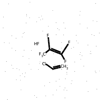 C=CCl.F.FC(F)=C(F)C(F)(F)F